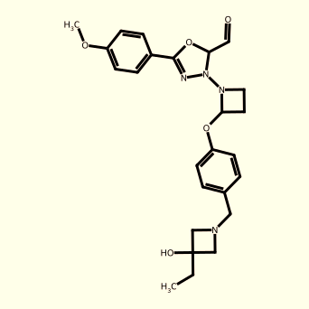 CCC1(O)CN(Cc2ccc(OC3CCN3N3N=C(c4ccc(OC)cc4)OC3C=O)cc2)C1